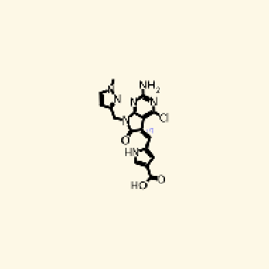 Cn1ccc(CN2C(=O)/C(=C\c3cc(C(=O)O)c[nH]3)c3c(Cl)nc(N)nc32)n1